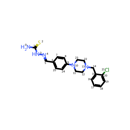 NC(=S)NN=Cc1ccc(N2CCN(Cc3ccccc3Cl)CC2)cc1